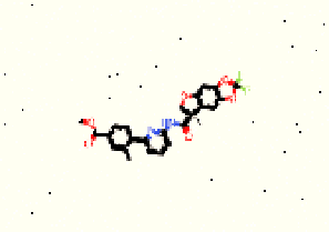 COC(=O)c1ccc(-c2cccc(NC(=O)[C@@]3(C)COc4cc5c(cc43)OC(F)(F)O5)n2)c(C)c1